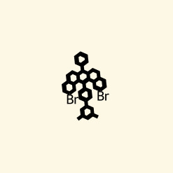 CC1=CC(c2ccc(C3=C4C5C=C(Br)C=CC5CCC4C(c4ccccc4)C4CC=C5C=CC(Br)CC5C34)cc2)CC(C)=C1